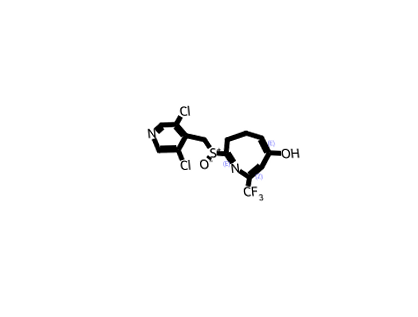 [O-][S+](Cc1c(Cl)cncc1Cl)/C1=N/C(C(F)(F)F)=C\C(O)=C/CC1